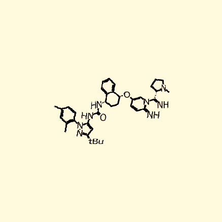 Cc1ccc(-n2nc(C(C)(C)C)cc2NC(=O)N[C@H]2CC[C@@H](Oc3ccc(=N)n(C(=N)[C@@H]4CCCN4C)c3)c3ccccc32)c(C)c1